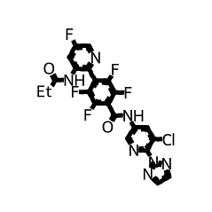 CCC(=O)Nc1cc(F)cnc1-c1c(F)c(F)c(C(=O)Nc2cnc(-n3nccn3)c(Cl)c2)c(F)c1F